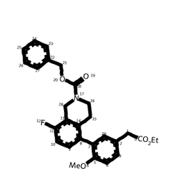 CCOC(=O)Cc1ccc(OC)c(-c2ccc(F)c3c2CCN(C(=O)OCc2ccccc2)C3)c1